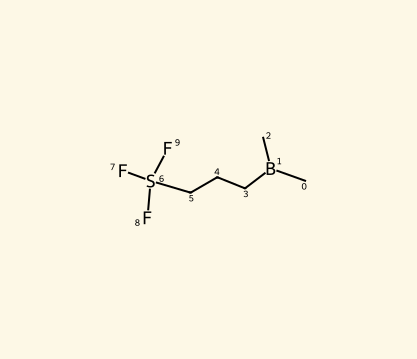 CB(C)CCCS(F)(F)F